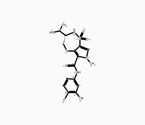 C[C@H](O)[C@H]1COc2c(cn(C)c2C(=O)Nc2ccc(F)c(C#N)c2)S(=O)(=O)N1